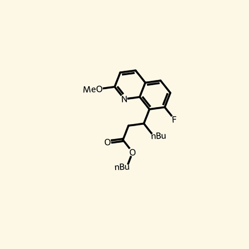 CCCCOC(=O)CC(CCCC)c1c(F)ccc2ccc(OC)nc12